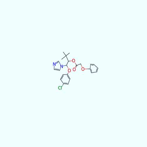 CC(C)(C)C(OC(=O)COc1ccccc1)C(Oc1ccc(Cl)cc1)n1ccnc1